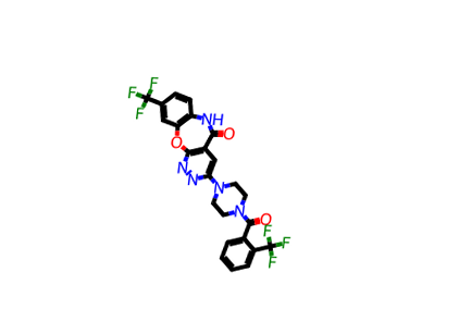 O=C1Nc2ccc(C(F)(F)F)cc2Oc2nnc(N3CCN(C(=O)c4ccccc4C(F)(F)F)CC3)cc21